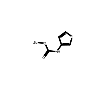 CC(C)(C)OC(=O)Nc1[c]scc1